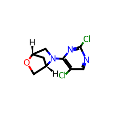 Clc1ncc(Cl)c(N2C[C@@H]3C[C@H]2CO3)n1